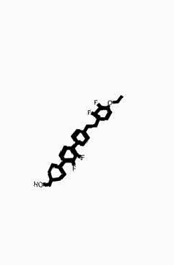 CCOc1ccc(CCc2ccc(-c3ccc(C4CCC(CO)CC4)c(F)c3F)cc2)c(F)c1F